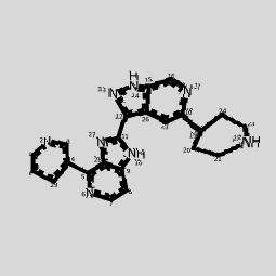 c1cncc(-c2nccc3[nH]c(-c4n[nH]c5cnc(C6CCNCC6)cc45)nc23)c1